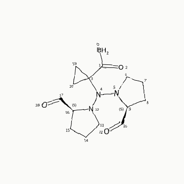 BC(=O)C1(N(N2CCC[C@H]2C=O)N2CCC[C@H]2C=O)CC1